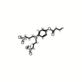 CCCC(=O)Oc1ccc(N(CCC[SH](=O)=O)CCC[SH](=O)=O)cc1